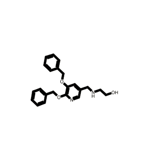 OCCNCc1cnc(OCc2ccccc2)c(OCc2ccccc2)c1